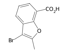 Cc1oc2c(C(=O)O)cccc2c1Br